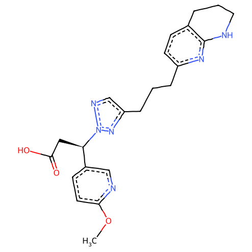 COc1ccc([C@@H](CC(=O)O)n2ncc(CCCc3ccc4c(n3)NCCC4)n2)cn1